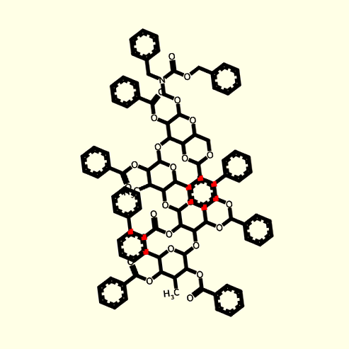 CC1C(OC(=O)c2ccccc2)C(COCc2ccccc2)OC(OC2C3OC(c4ccccc4)OCC3OC(OC3C(COCc4ccccc4)OC(OC4C5OC(c6ccccc6)OCC5OC(OCN(Cc5ccccc5)C(=O)OCc5ccccc5)C4OC(=O)c4ccccc4)C(OC(=O)c4ccccc4)C3C)C2OC(=O)c2ccccc2)C1OC(=O)c1ccccc1